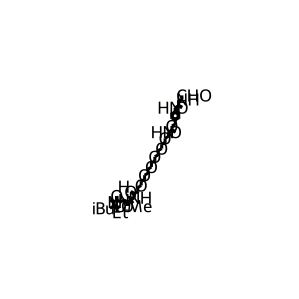 CCC(C)C(C(CC)OC)N(C)C(=O)CNC(=O)C(C)(C)NC(=O)CCOCCOCCOCCOCCOCCOCNC(=O)OCc1ccc(NC(=O)CNC=O)cc1